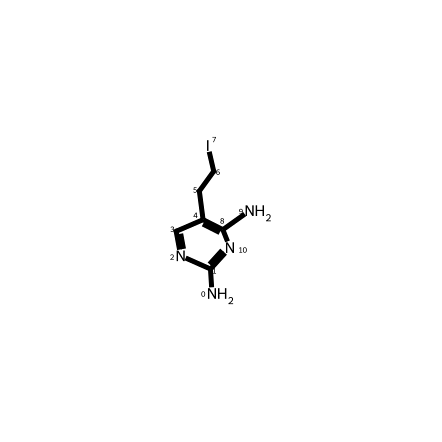 Nc1ncc(CCI)c(N)n1